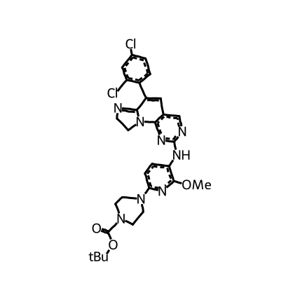 COc1nc(N2CCN(C(=O)OC(C)(C)C)CC2)ccc1Nc1ncc2c(n1)N1CCN=C1C(c1ccc(Cl)cc1Cl)=C2